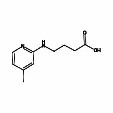 Cc1ccnc(NCCCC(=O)O)c1